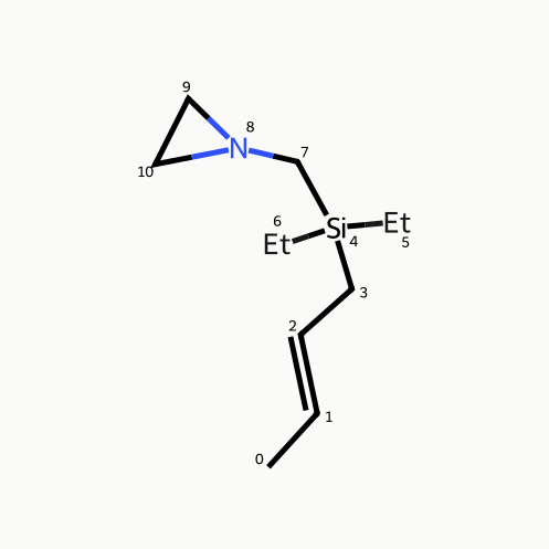 C/C=C/C[Si](CC)(CC)CN1CC1